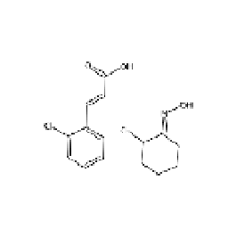 O=C(O)C=Cc1ccccc1Cl.ON=C1CCCCC1Cl